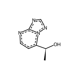 C[C@H](O)c1ccnc2ncnn12